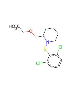 O=C(O)COCC1CCCCN1Sc1c(Cl)cccc1Cl